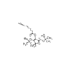 CCCCCCCCCCCCCCCC(=O)OC1=C(O[Si](C)(C)C(C)(C)C)C(=O)O[C@@H]1[C@@H]1COC(C)(C)O1